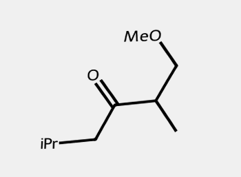 COCC(C)C(=O)CC(C)C